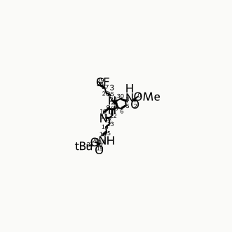 COC(=O)Nc1ccc(-c2ccnc(CCC=CNC(=O)OC(C)(C)C)c2)c(NCCC=CC(F)(F)F)c1